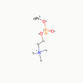 CCCO[PH](=O)OCC[N+](C)(C)C